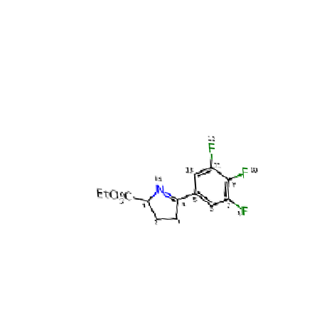 CCOC(=O)C1CCC(c2cc(F)c(F)c(F)c2)=N1